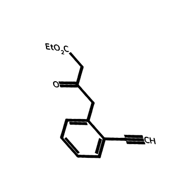 C#Cc1ccccc1CC(=O)CC(=O)OCC